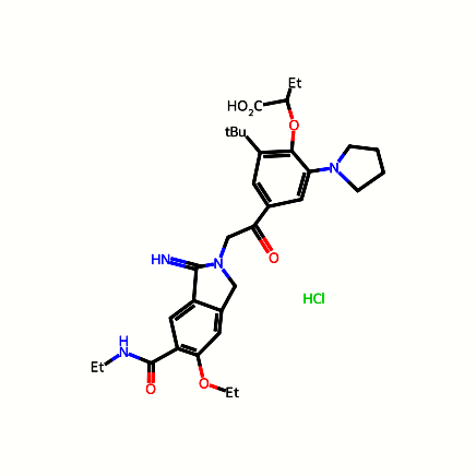 CCNC(=O)c1cc2c(cc1OCC)CN(CC(=O)c1cc(N3CCCC3)c(OC(CC)C(=O)O)c(C(C)(C)C)c1)C2=N.Cl